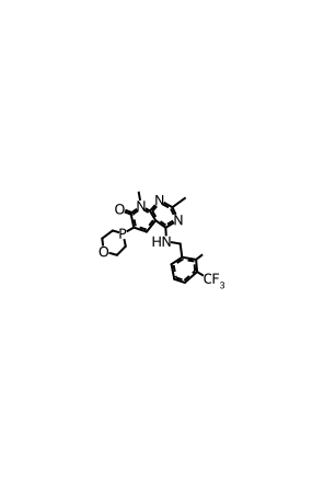 Cc1nc(NCc2cccc(C(F)(F)F)c2C)c2cc(P3CCOCC3)c(=O)n(C)c2n1